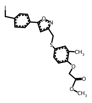 COC(=O)COc1ccc(SCc2cc(-c3ccc(CI)cc3)on2)cc1C